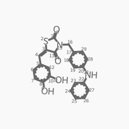 O=C1SC(=Cc2ccc(O)c(O)c2)C(=O)N1Cc1ccc(Nc2ccccc2)cc1